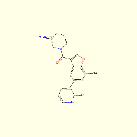 CC(C)(C)c1cc(-c2ccc[nH]c2=O)cc2c(C(=O)N3CCC[C@H](N)C3)coc12